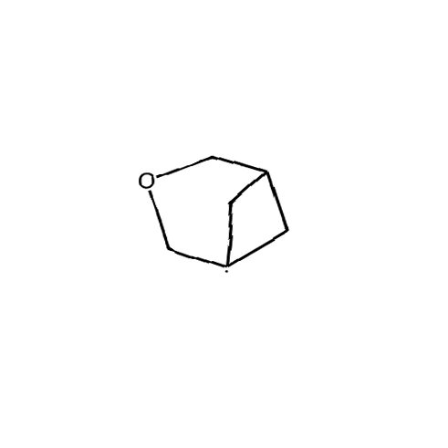 C1OCC2C[C]1C2